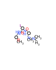 CCN(CC)CCN(C)Cc1cccc(C(=O)Nc2ccc(I)cc2C(=O)NN=Cc2cccc(OC)c2)c1